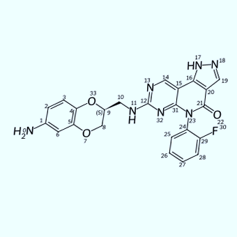 Nc1ccc2c(c1)OC[C@H](CNc1ncc3c4[nH]ncc4c(=O)n(-c4ccccc4F)c3n1)O2